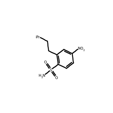 CC(C)CCc1cc([N+](=O)[O-])ccc1S(N)(=O)=O